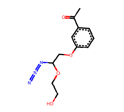 CC(=O)c1cccc(OCC(N=[N+]=[N-])OCCO)c1